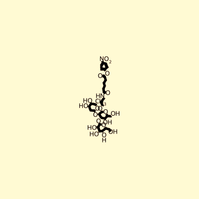 CC1O[C@@H](O[C@H]2C(O[C@H]3OC(CO)[C@H](O)[C@H](O)C3O)[C@@H](O)C(CO)O[C@H]2OCCCNC(=O)CCCCC(=O)Oc2ccc([N+](=O)[O-])cc2)C[C@@H](O)[C@@H]1O